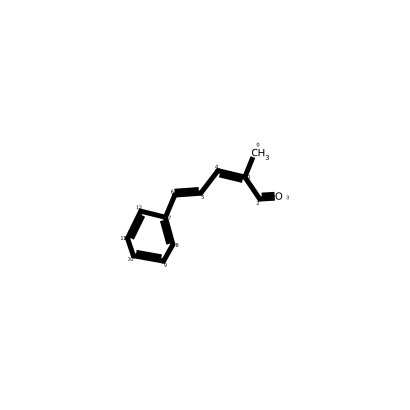 CC(C=O)=CC=Cc1ccccc1